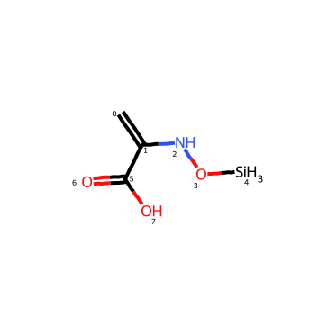 C=C(NO[SiH3])C(=O)O